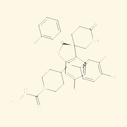 CNC(=O)N1CCC(Oc2ccc(Br)c(F)c2[C@H]2NC(=O)C[C@@H](c3cccc(Cl)c3)[C@]23C(=O)Nc2cc(Cl)ccc23)CC1